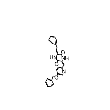 O=c1[nH]c(=Cc2ccc(OCc3ccccc3)cn2)c(=O)[nH]c1=CCc1ccccc1